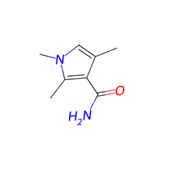 Cc1cn(C)c(C)c1C(N)=O